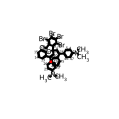 CN(C)c1ccc(C(=CC2(C=C(c3ccccc3)c3ccc(N(C)C)cc3)OC(=O)c3c(Br)c(Br)c(Br)c(Br)c32)c2ccccc2)cc1